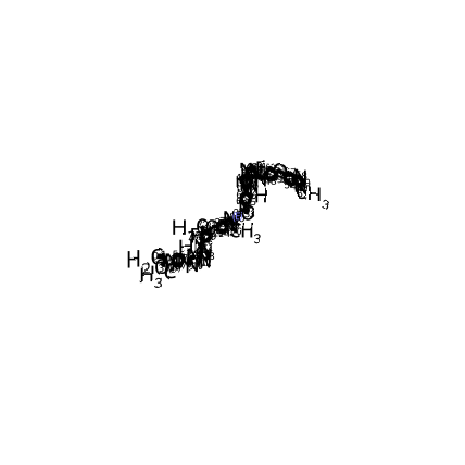 C=CC(=O)N1CCN(c2ncc3ncnc(Nc4ccc(Oc5ccc6c(c5)nc(/C=C/C(=O)N5CCN(c7ncc8ncnc(Nc9ccc(Oc%10ccc%11c(c%10)ncn%11C)cc9F)c8n7)CC5)n6C)c(C)c4F)c3n2)C[C@H]1C